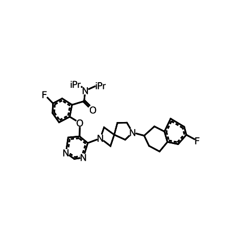 CC(C)N(C(=O)c1cc(F)ccc1Oc1cncnc1N1CC2(CCN(C3CCc4cc(F)ccc4C3)C2)C1)C(C)C